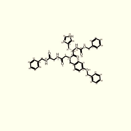 O=C(CNC(=O)CN(Cc1ccc(OCc2ccccc2)cc1)C(=O)[C@H](Cc1c[nH]cn1)NC(=O)OCc1ccccc1)NCc1ccccc1